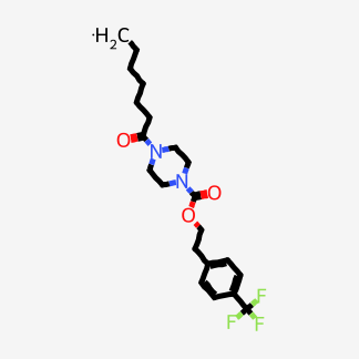 [CH2]CCCCCC(=O)N1CCN(C(=O)OCCc2ccc(C(F)(F)F)cc2)CC1